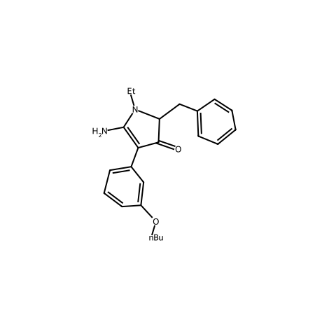 CCCCOc1cccc(C2=C(N)N(CC)C(Cc3ccccc3)C2=O)c1